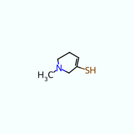 CN1CCC=C(S)C1